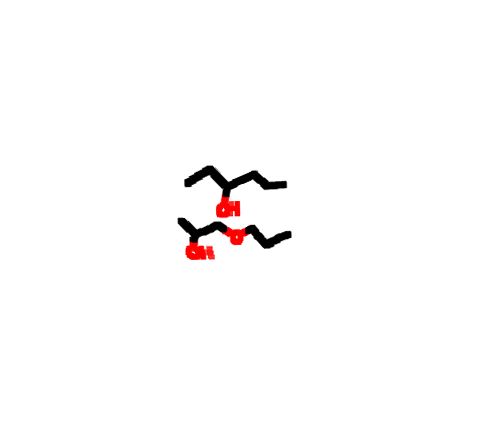 CCCC(O)CC.CCCOCC(C)O